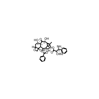 CO[C@@H](C(=O)O[C@H]1C[C@@]2(O)[C@@H](OC(=O)c3ccccc3)C3[C@](C)(C(=O)[C@H](O)C(=C1C)C2(C)C)[C@@H](O)C[C@H]1OC[C@@]31OC(C)=O)[C@@H](N)c1ccccc1